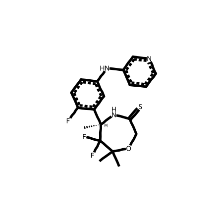 CC1(C)OCC(=S)N[C@](C)(c2cc(Nc3cccnc3)ccc2F)C1(F)F